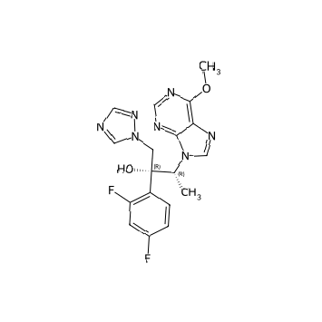 COc1ncnc2c1ncn2[C@H](C)[C@](O)(Cn1cncn1)c1ccc(F)cc1F